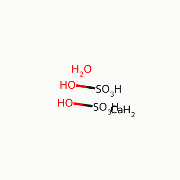 O.O=S(=O)(O)O.O=S(=O)(O)O.[CaH2]